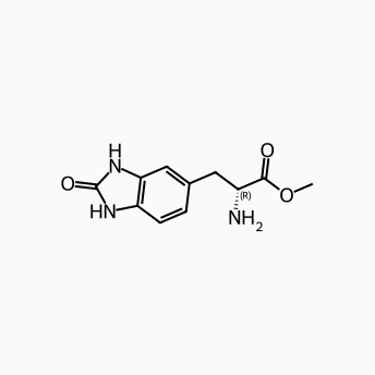 COC(=O)[C@H](N)Cc1ccc2[nH]c(=O)[nH]c2c1